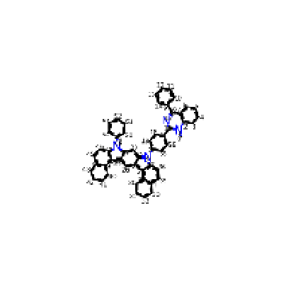 CN1c2ccccc2C(c2ccccc2)=NC1c1ccc(-n2c3cc4c(cc3c3c5ccccc5ccc32)c2c3ccccc3ccc2n4-c2ccccc2)cc1